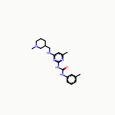 Cc1cccc(NC(=O)Nc2nc(C)cc(NCC3CCCN(C)C3)n2)c1